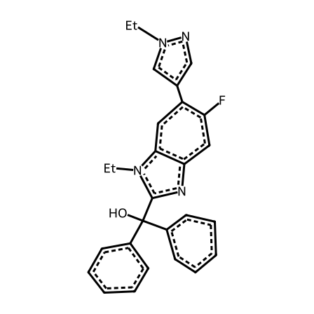 CCn1cc(-c2cc3c(cc2F)nc(C(O)(c2ccccc2)c2ccccc2)n3CC)cn1